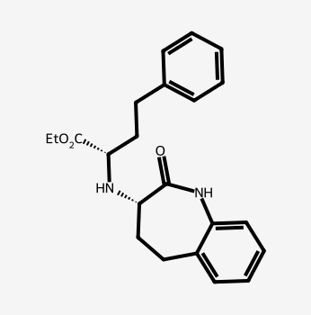 CCOC(=O)[C@H](CCc1ccccc1)N[C@H]1CCc2ccccc2NC1=O